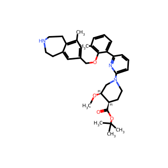 CO[C@H]1CN(c2cccc(-c3cccc(C)c3OCc3cc(C)c4c(c3)CCNCC4)n2)CC[C@H]1C(=O)OC(C)(C)C